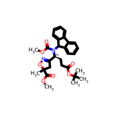 COC(=O)N(C1c2ccccc2-c2ccccc21)[C@@H](CCC(=O)OC(C)(C)C)C1=NOC(C)(C(=O)OC)C1